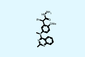 COc1ccc(N(C)c2nc(C)nc3ccccc23)cc1C(C(=O)NN)C(C)C